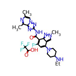 CCNC1CCN(c2cc(F)c(C(=O)Nc3nc4c(C)nc(C)cn4n3)c3nn(C)cc23)CC1.O=C(O)C(F)(F)F